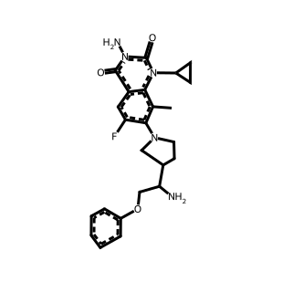 Cc1c(N2CCC(C(N)COc3ccccc3)C2)c(F)cc2c(=O)n(N)c(=O)n(C3CC3)c12